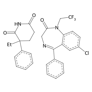 CCC1(c2ccccc2)CCC(=O)NC1=O.O=C1CN=C(c2ccccc2)c2cc(Cl)ccc2N1CC(F)(F)F